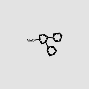 COc1[c]cc(-c2ccccc2)c(-c2ccccc2)c1